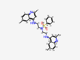 Cc1ccc2nc(C)cc(NCCN(CCNc3cc(C)nc4ccc(C)cc34)S(=O)(=O)c3ccccc3)c2c1